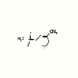 CC(=CCC(C)(Cl)Cl)CCl